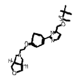 CC(C)(C)[Si](C)(C)OCc1ccnc(-c2ccc(OCCN3C[C@H]4COC[C@H]4C3)cc2)n1